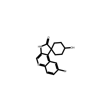 O=C1Nc2cnc3ccc(Br)cc3c2C12CCC(O)CC2